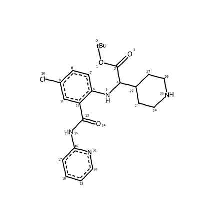 CC(C)(C)OC(=O)C(Nc1ccc(Cl)cc1C(=O)Nc1ccccn1)C1CCNCC1